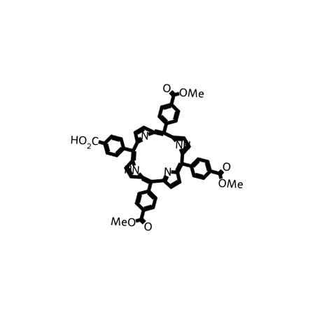 COC(=O)c1ccc(-c2c3nc(c(-c4ccc(C(=O)OC)cc4)c4ccc([nH]4)c(-c4ccc(C(=O)OC)cc4)c4nc(c(-c5ccc(C(=O)O)cc5)c5ccc2[nH]5)C=C4)C=C3)cc1